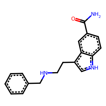 NC(=O)c1ccc2[nH]cc(CCNCc3ccccc3)c2c1